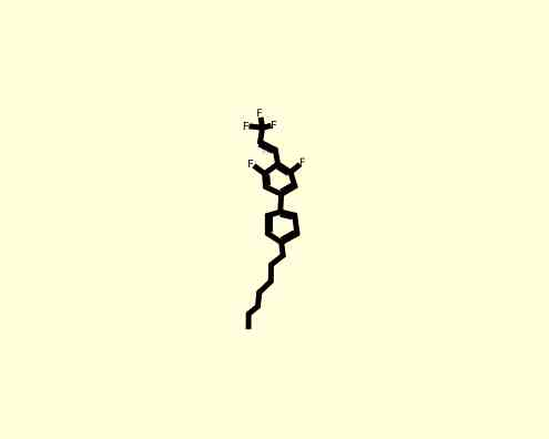 CCCCCCCc1ccc(-c2cc(F)c(/C=C/C(F)(F)F)c(F)c2)cc1